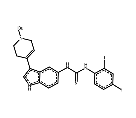 CCC(C)N1CC=C(c2c[nH]c3ccc(NC(=S)Nc4ccc(I)cc4I)cc23)CC1